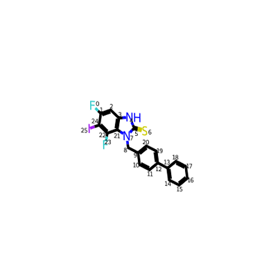 Fc1cc2[nH]c(=S)n(Cc3ccc(-c4ccccc4)cc3)c2c(F)c1I